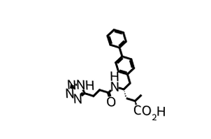 C[C@H](C[C@@H](Cc1ccc(-c2ccccc2)cc1)NC(=O)CCc1nnn[nH]1)C(=O)O